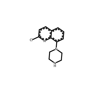 Clc1ccc2cccc(N3CCNCC3)c2n1